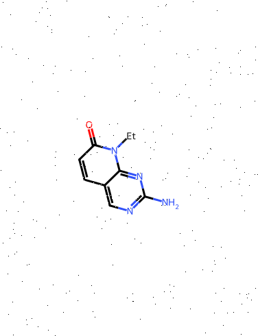 CCn1c(=O)ccc2cnc(N)nc21